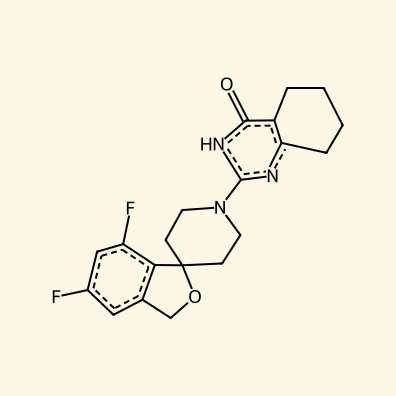 O=c1[nH]c(N2CCC3(CC2)OCc2cc(F)cc(F)c23)nc2c1CCCC2